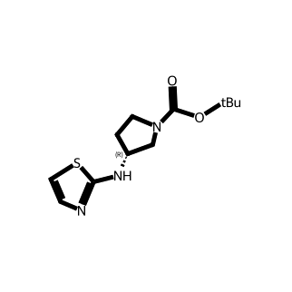 CC(C)(C)OC(=O)N1CC[C@@H](Nc2nccs2)C1